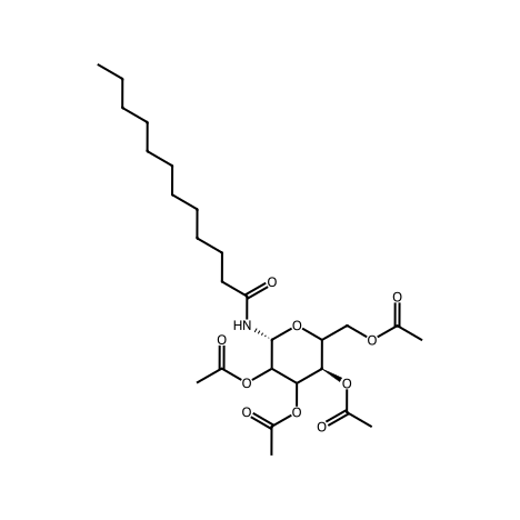 CCCCCCCCCCCC(=O)N[C@@H]1OC(COC(C)=O)[C@@H](OC(C)=O)C(OC(C)=O)C1OC(C)=O